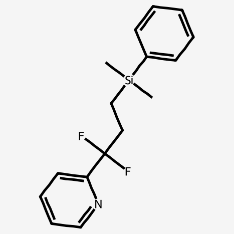 C[Si](C)(CCC(F)(F)c1ccccn1)c1ccccc1